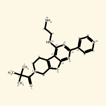 CC(C)(C)C(=O)N1CCc2c(sc3nc(-c4ccncc4)nc(NCCN)c23)C1